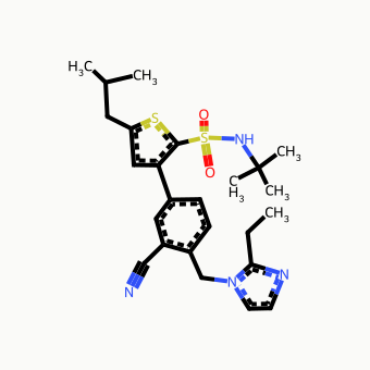 CCc1nccn1Cc1ccc(-c2cc(CC(C)C)sc2S(=O)(=O)NC(C)(C)C)cc1C#N